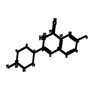 Cc1ccc2cc(C3CCN(C)CC3)[nH]c(=O)c2c1